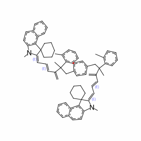 C=C(/C=C/C=C1/N(C)c2ccc3ccccc3c2C12CCCCC2)C(C)(Cc1ccc(CC(C)(C(=C)/C=C/C=C2/N(C)c3ccc4ccccc4c3C23CCCCC3)c2ccccc2C)cc1)c1ccccc1C